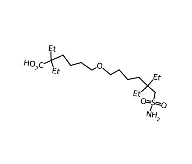 CCC(CC)(CCCCOCCCCC(CC)(CC)C(=O)O)CS(N)(=O)=O